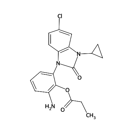 CCC(=O)Oc1c(N)cccc1-n1c(=O)n(C2CC2)c2cc(Cl)ccc21